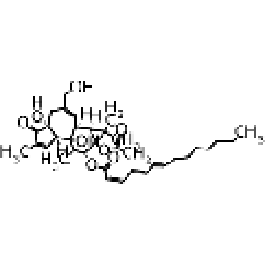 CCCCCCC/C=C/C=C/C=C\C(=O)O[C@@H]1[C@@H](C)[C@@]2(O)[C@@H](C=C(CO)C[C@]3(O)C(=O)C(C)=C[C@@H]23)[C@H]2C(C)(C)[C@]12OC(C)=O